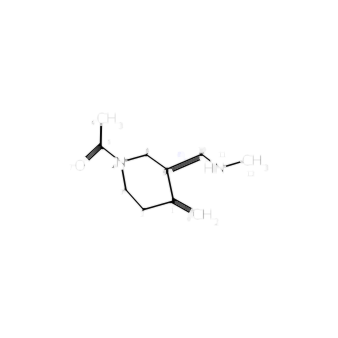 C=C1CCN(C(C)=O)C/C1=C/NC